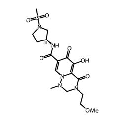 COCCN1CN(C)n2cc(C(=O)N[C@H]3CCN(S(C)(=O)=O)C3)c(=O)c(O)c2C1=O